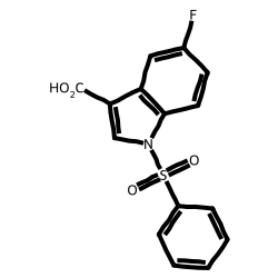 O=C(O)c1cn(S(=O)(=O)c2ccccc2)c2ccc(F)cc12